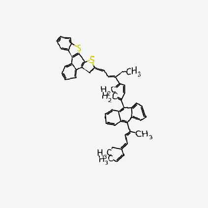 C=C(/C=C\C(=C)c1c2ccccc2c(/C(C)=C/C=C(/C=C\C)CC)c2ccccc12)/C(=C/C=C1\Cc2c(c3sc4ccccc4c3c3ccccc23)S1)CC